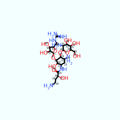 N=C(N)NCC1OC(OC2C(O)C(NC(=O)[C@@H](O)CCN)CC(N)C2OC2OC(CO)C(O)C(O)C2N)C(O)C1O